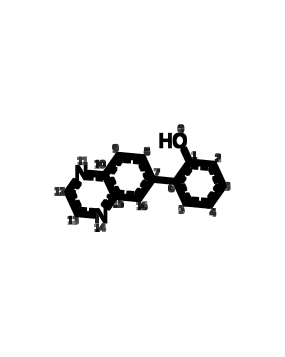 Oc1ccccc1-c1ccc2nccnc2c1